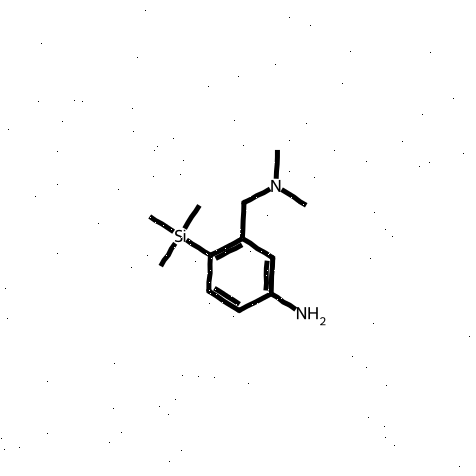 CN(C)Cc1cc(N)ccc1[Si](C)(C)C